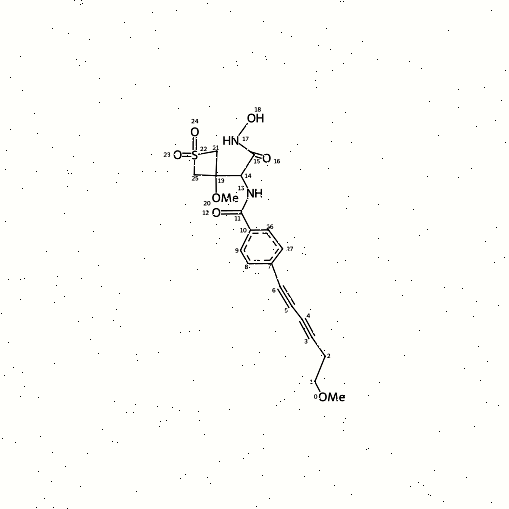 COCCC#CC#Cc1ccc(C(=O)NC(C(=O)NO)C2(OC)CS(=O)(=O)C2)cc1